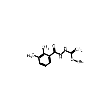 C=C(NNC(=O)c1cccc(C)c1C)OC(C)(C)C